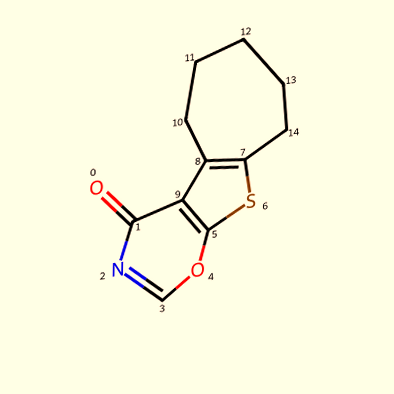 O=c1ncoc2sc3c(c12)CCCCC3